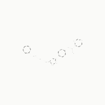 NC(Cc1ccc(-c2nnc(CSCCOc3ccccc3)o2)cc1)c1ccncn1